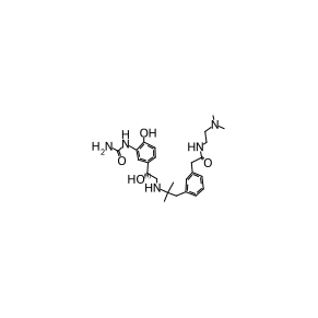 CN(C)CCNC(=O)Cc1cccc(CC(C)(C)NC[C@H](O)c2ccc(O)c(NC(N)=O)c2)c1